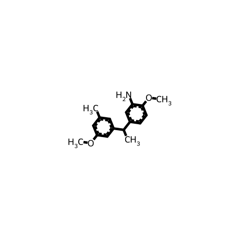 COc1cc(C)cc(C(C)c2ccc(OC)c(N)c2)c1